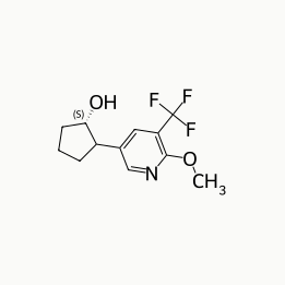 COc1ncc(C2CCC[C@@H]2O)cc1C(F)(F)F